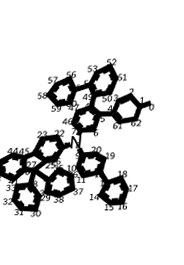 CC1C=CC(c2cc(N(c3ccc(-c4ccccc4)cc3)c3ccc4c(c3)C(c3ccccc3)(c3ccccc3)c3ccccc3-4)ccc2-c2ccccc2-c2ccccc2)=CC1